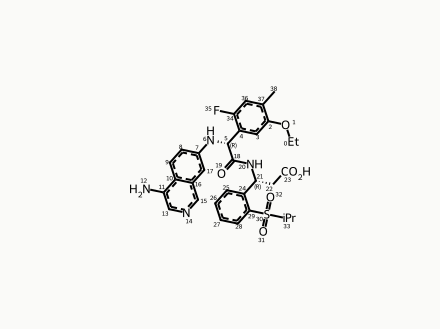 CCOc1cc([C@@H](Nc2ccc3c(N)cncc3c2)C(=O)N[C@H](CC(=O)O)c2ccccc2S(=O)(=O)C(C)C)c(F)cc1C